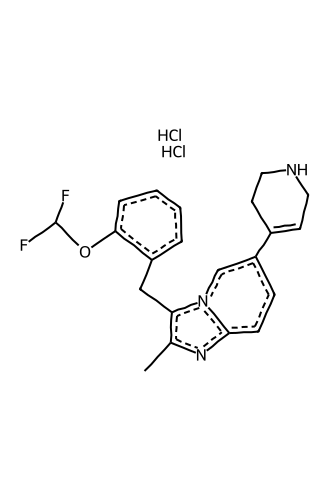 Cc1nc2ccc(C3=CCNCC3)cn2c1Cc1ccccc1OC(F)F.Cl.Cl